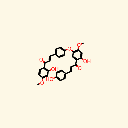 COc1ccc(C(=O)C=Cc2ccc(Oc3cc(C(=O)C=Cc4ccc(O)cc4)c(O)cc3OC)cc2)c(O)c1